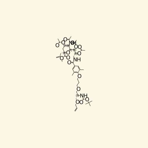 C=CCOC[C@H](COCCCOc1c(C)cc(C(=O)NC[C@@H](OC(C)=O)[C@@H](OC(C)=O)[C@@H]2O[C@@](CC=C)(C(=O)OC)C[C@H](OC(C)=O)[C@H]2NC(C)=O)cc1C)NC(=O)OC(C)(C)C